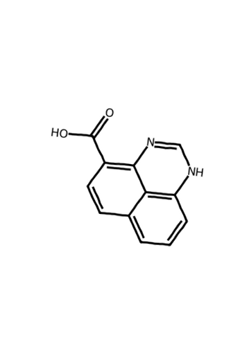 O=C(O)c1ccc2cccc3c2c1N=CN3